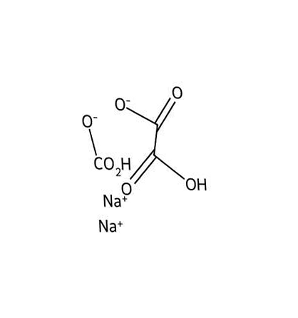 O=C([O-])C(=O)O.O=C([O-])O.[Na+].[Na+]